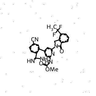 COC(=O)Nc1cc(-c2cc(C#N)ccc2C(=N)N)cc(N2Cc3c(cccc3C(C)(F)F)C2=O)n1